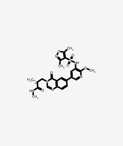 CNC(=O)[C@H](C)Cn1cnc2ccc(-c3cnc(OC)c(NS(=O)(=O)c4c(C)noc4C)c3)cc2c1=O